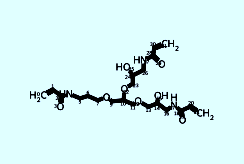 C=CC(=O)NCCCOCC(COCC(O)CNC(=O)C=C)OCC(O)CNC(=O)C=C